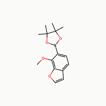 COc1c(B2OC(C)(C)C(C)(C)O2)ccc2ccoc12